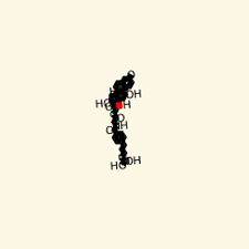 C[C@]12C=CC(=O)C=C1CC[C@H]1[C@@H]3C[C@@H](O)[C@](O)(C(=O)COC(=O)CNC(=O)c4ccc(CCCON(O)O)cc4)[C@@]3(C)C[C@H](O)[C@@]12F